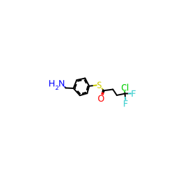 NCc1ccc(SC(=O)CCC(F)(F)Cl)cc1